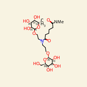 CNC(=O)CCCCC(=O)N(CCCO[C@@H]1O[C@H](CO)[C@@H](O)[C@H](O)[C@@H]1O)CCO[C@@H]1O[C@@H](C)[C@@H](O)[C@@H](O)[C@@H]1O